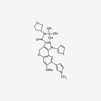 COc1cc2c(cc1-c1ccn(C)c1)-c1c(c(C(=O)N(C3CCOC3)C(O)(O)O)nn1-c1ccsc1)CO2